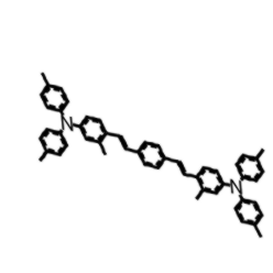 Cc1ccc(N(c2ccc(C)cc2)c2ccc(C=Cc3ccc(C=Cc4ccc(N(c5ccc(C)cc5)c5ccc(C)cc5)cc4C)cc3)c(C)c2)cc1